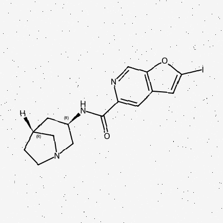 O=C(N[C@@H]1C[C@H]2CCN(C2)C1)c1cc2cc(I)oc2cn1